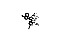 COc1nc(C#N)cc2c1[C@]1(O)[C@H](O)[C@H](CN(C)C)[C@@H](c3ccccc3)[C@]1(c1ccc(C#N)cc1)O2